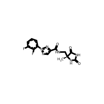 C[C@]1(CNC(=O)c2cnn(-c3cccc(F)c3F)n2)NC(=O)NC1=O